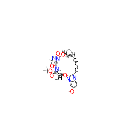 CC[C@@H]1[C@@H]2CN(C(=O)[C@H](C(C)(C)C)NC(=O)O[C@@H]3CCC[C@H]3CCCCCCc3nc4ccc(OC)cc4nc3O2)[C@@H]1C(=O)OC(C)(C)C